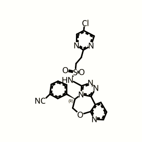 N#Cc1cccc([C@@H]2COc3ncccc3-c3nnc(NS(=O)(=O)CCc4ncc(Cl)cn4)n32)c1